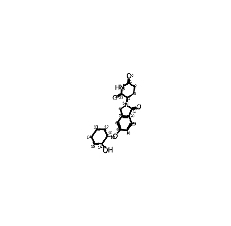 O=C1CCC(N2Cc3cc(O[C@H]4CCCC[C@@H]4O)ccc3C2=O)C(=O)N1